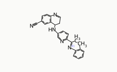 C/C(=N\c1ccccc1C)c1ccc(NC2CC=Nc3ccc(C#N)cc32)cn1